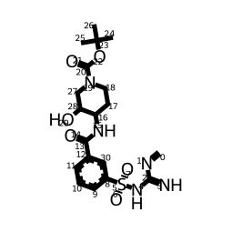 C=NC(=N)NS(=O)(=O)c1cccc(C(=O)NC2CCN(C(=O)OC(C)(C)C)CC2O)c1